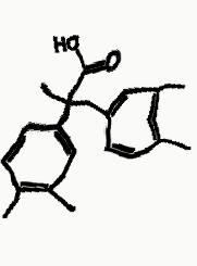 Cc1ccc(C(C)(C(=O)O)c2ccc(C)c(C)c2)cc1C